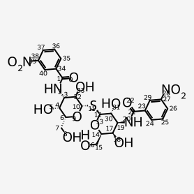 O=C(N[C@H]1[C@@H](O)[C@@H](CO)O[C@@H](S[C@@H]2O[C@H](CO)[C@H](O)[C@H](NC(=O)c3cccc([N+](=O)[O-])c3)[C@H]2O)[C@@H]1O)c1cccc([N+](=O)[O-])c1